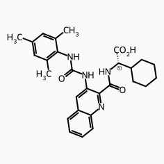 Cc1cc(C)c(NC(=O)Nc2cc3ccccc3nc2C(=O)N[C@H](C(=O)O)C2CCCCC2)c(C)c1